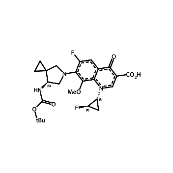 COc1c(N2C[C@@H](NC(=O)OC(C)(C)C)C3(CC3)C2)c(F)cc2c(=O)c(C(=O)O)cn([C@@H]3C[C@H]3F)c12